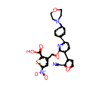 N#Cc1occc1-c1ccc(-c2ccc(N3CCOCC3)cc2)nc1OCc1cc([N+](=O)[O-])sc1C(=O)O